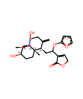 C=C1CC[C@]23[N+](O)=C[C@]2(C)[C@H](O)CC[C@@]3(C)[C@@H]1CC(Oc1ccco1)C1=CCOC1=O